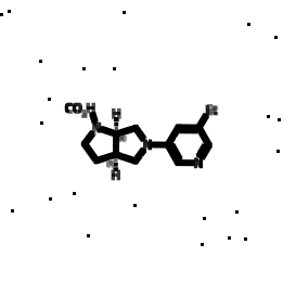 CCc1cncc(N2C[C@H]3CCN(C(=O)O)[C@H]3C2)c1